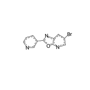 Brc1cnc2oc(-c3cccnc3)nc2c1